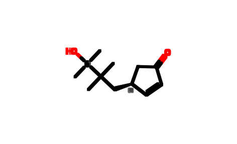 CC(C)(C[C@@H]1C=CC(=O)C1)[Si](C)(C)O